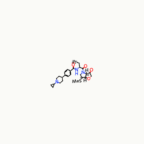 CS[C@H]1CN(C(=O)C(CC(C)C)NC(=O)c2ccc(C3CCN(C4CC4)CC3)cc2)[C@@H]2C(=O)CO[C@H]12